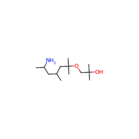 CC(N)CC(C)CC(C)(C)OCC(C)(C)O